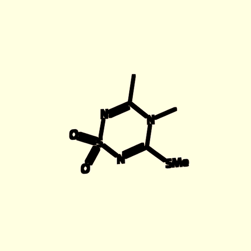 CSC1=NS(=O)(=O)N=C(C)N1C